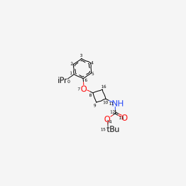 CC(C)c1ccccc1OC1CC(NC(=O)OC(C)(C)C)C1